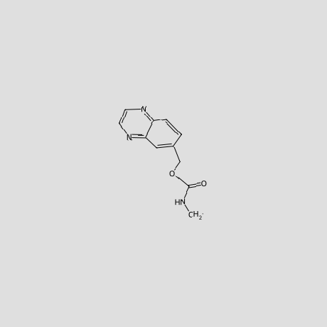 [CH2]NC(=O)OCc1ccc2nccnc2c1